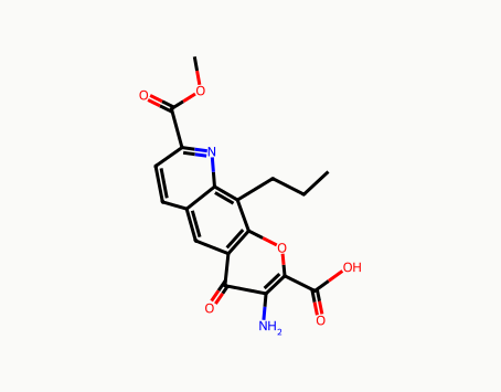 CCCc1c2nc(C(=O)OC)ccc2cc2c(=O)c(N)c(C(=O)O)oc12